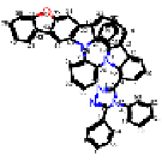 c1ccc(-c2nnc(-c3cccc4c5ccccc5n(-c5ccccc5-n5c6ccccc6c6cc7oc8ccccc8c7cc65)c34)n2-c2ccccc2)cc1